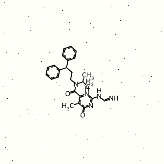 Cc1c(C(=O)N(CCC(c2ccccc2)c2ccccc2)C(C)C)[nH]c(NC=N)nc1=O